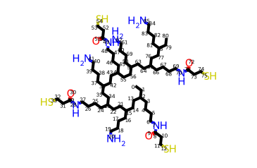 CCC(CCCCNC(=O)CCS)CCC(CCCCN)CCC(CCCCNC(=O)CCS)CCC(CCCCN)CCC(CCCCNC(=O)CCS)CCC(CCCCN)CCC(CCCCNC(=O)CCS)CCC(CC)CCCCN